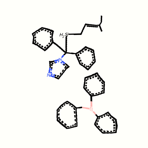 CC(C)=CC[SiH2]C(c1ccccc1)(c1ccccc1)n1ccnc1.c1ccc(B(c2ccccc2)c2ccccc2)cc1